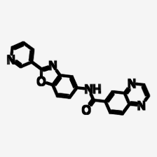 O=C(Nc1ccc2oc(-c3cccnc3)nc2c1)c1ccc2nccnc2c1